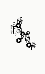 CN(Cc1cc(C(F)(F)F)cc(C(F)(F)F)c1)[C@H]1C[C@@H](C(=O)N2CCN(c3cccc(C(F)(F)F)c3)CC2)N(Cc2ccccc2)C1